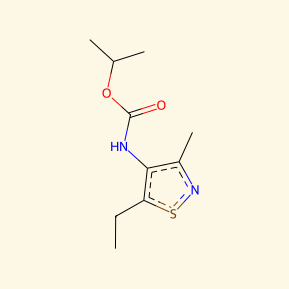 CCc1snc(C)c1NC(=O)OC(C)C